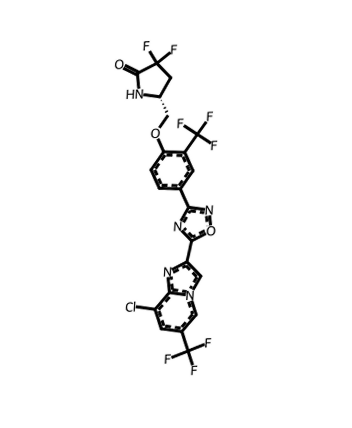 O=C1N[C@@H](COc2ccc(-c3noc(-c4cn5cc(C(F)(F)F)cc(Cl)c5n4)n3)cc2C(F)(F)F)CC1(F)F